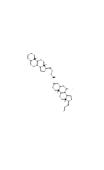 C[C@H](CCC(=O)O[C@@H]1CCC2(C)C(CC(O)C3C2CCC2(C)C3CCC2[C@H](C)CCC(=O)O)C1)C1CCC2C3CCC4CCCCC4(C)C3CCC21C